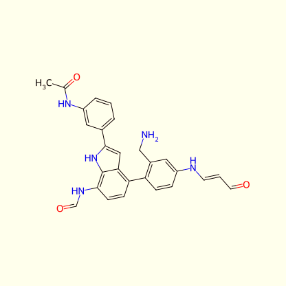 CC(=O)Nc1cccc(-c2cc3c(-c4ccc(NC=CC=O)cc4CN)ccc(NC=O)c3[nH]2)c1